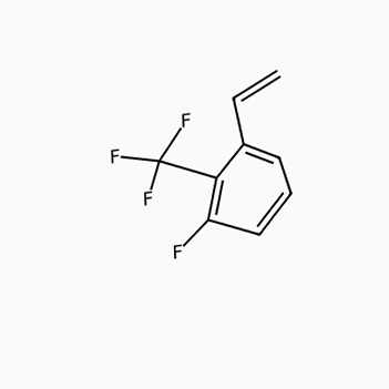 C=Cc1cccc(F)c1C(F)(F)F